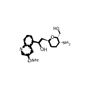 COc1cnc2cccc(C(O)C[C@@H]3CC[C@@H](N)[C@@H](CO)O3)c2c1